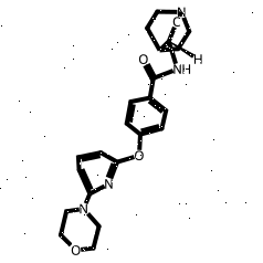 O=C(N[C@H]1CN2CCC1CC2)c1ccc(Oc2cccc(N3CCOCC3)n2)cc1